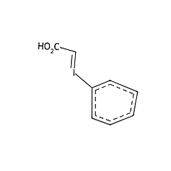 O=C(O)/C=I/c1ccccc1